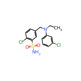 CCN(Cc1ccc(Cl)c(S(N)(=O)=O)c1)c1cccc(Cl)c1